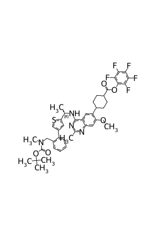 COc1cc2nc(C)nc(N[C@H](C)c3cc(-c4ccccc4CN(C)C(=O)OC(C)(C)C)cs3)c2cc1C1CCC(C(=O)Oc2c(F)c(F)c(F)c(F)c2F)CC1